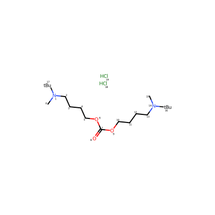 CN(CCCCOC(=O)OCCCCN(C)C(C)(C)C)C(C)(C)C.Cl.Cl